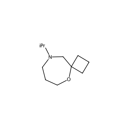 CC(C)N1CCCOC2(CCC2)C1